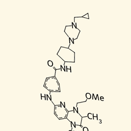 COCCN1c2nc(Nc3ccc(C(=O)NC4CCC(N5CCN(CC6CC6)CC5)CC4)cc3)ccc2N(C)C(=O)C1C